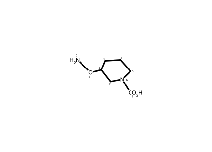 NOC1CCCN(C(=O)O)C1